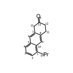 CC(C)c1cccc2cc3c(cc12)CCC(=O)C3